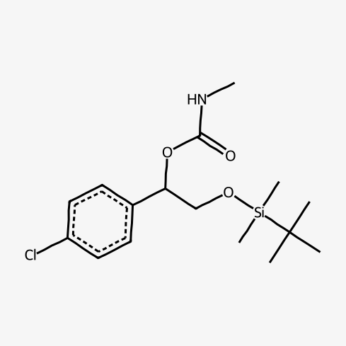 CNC(=O)OC(CO[Si](C)(C)C(C)(C)C)c1ccc(Cl)cc1